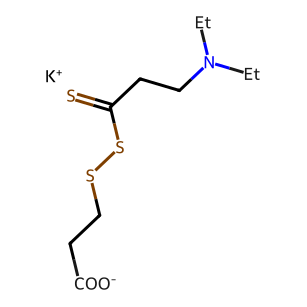 CCN(CC)CCC(=S)SSCCC(=O)[O-].[K+]